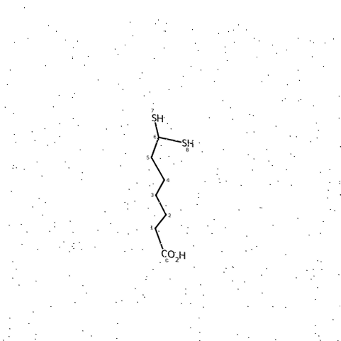 O=C(O)CCCCC[C](S)S